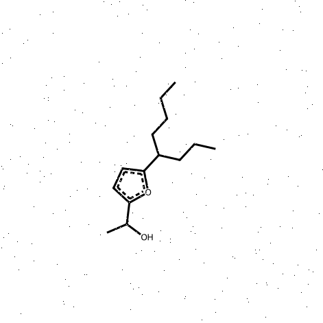 CCCCC(CCC)c1ccc(C(C)O)o1